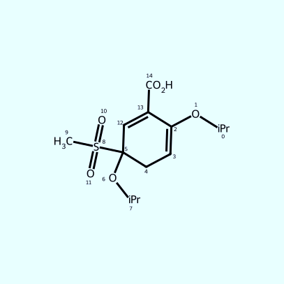 CC(C)OC1=CCC(OC(C)C)(S(C)(=O)=O)C=C1C(=O)O